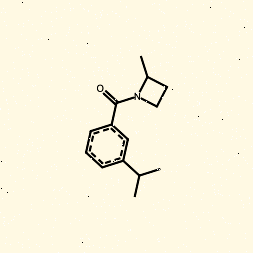 CC(C)c1cccc(C(=O)N2CCC2C)c1